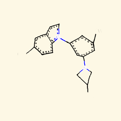 Cc1cc(N2CC(C(=O)O)C2)cc(-n2ccc3cc(C(F)(F)F)ccc32)c1